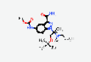 CC(=O)N(CC(=O)O)[C@](C)(CO[Si](C)(C)C(C)(C)C)n1nc(C(N)=O)c2cc(NC(=O)OC(C)(C)C)ccc21